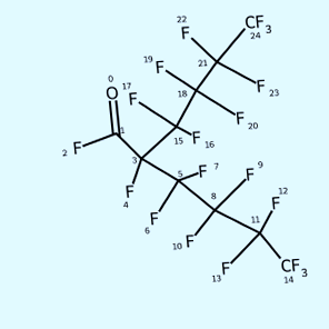 O=C(F)C(F)(C(F)(F)C(F)(F)C(F)(F)C(F)(F)F)C(F)(F)C(F)(F)C(F)(F)C(F)(F)F